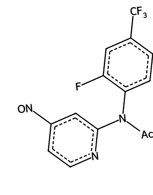 CC(=O)N(c1cc(N=O)ccn1)c1ccc(C(F)(F)F)cc1F